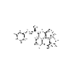 O=C(CN(C(=O)OCc1ccccc1)c1ccccc1)ON1C(=O)CCC1=O